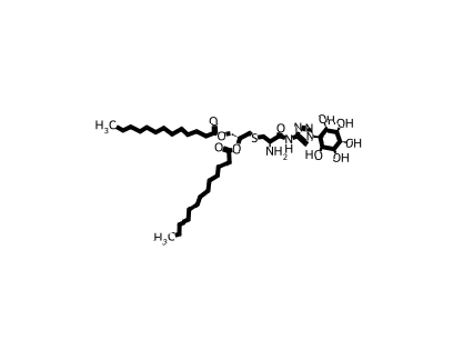 CCCCCCCCCCCCC(=O)OC[C@H](CSC[C@@H](N)C(=O)Nc1cn([C@@H]2[C@H](O)[C@H](O)[C@@H](O)[C@H](O)[C@H]2O)nn1)OC(=O)CCCCCCCCCCCC